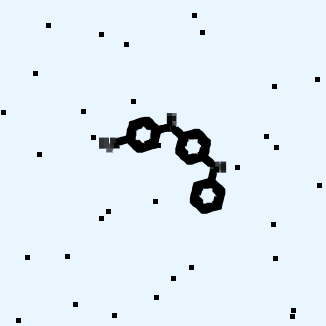 Nc1ccc(Nc2ccc(Nc3ccccc3)cc2)cc1